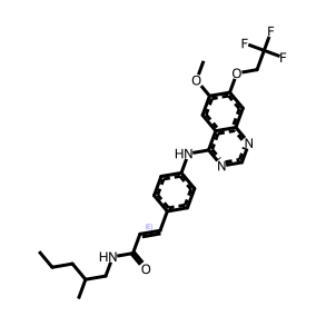 CCCC(C)CNC(=O)/C=C/c1ccc(Nc2ncnc3cc(OCC(F)(F)F)c(OC)cc23)cc1